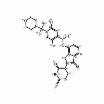 [2H]c1cc(C([2H])([2H])N2CCOCC2)c([2H])cc1C([2H])Oc1cccc2c1CN(C1CCC(=O)NC1=O)C2=O